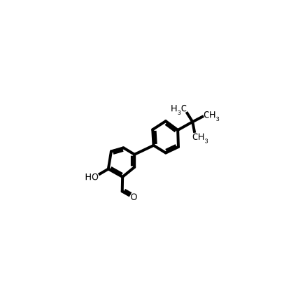 CC(C)(C)c1ccc(-c2ccc(O)c(C=O)c2)cc1